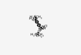 CC(C)(C)OC(=O)N1CCN(c2ccc(-c3nn(COCC[Si](C)(C)C)c4cnc(Cl)nc34)cc2)CC1